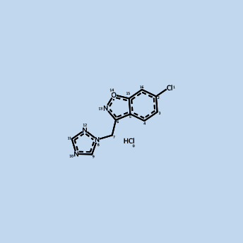 Cl.Clc1ccc2c(Cn3cncn3)noc2c1